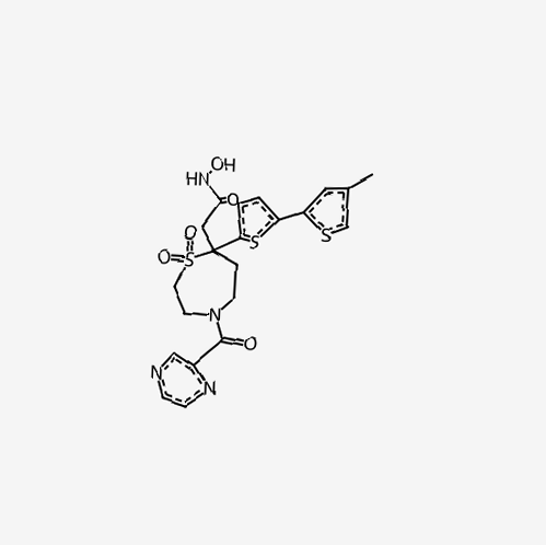 Cc1csc(-c2ccc(C3(CC(=O)NO)CCN(C(=O)c4cnccn4)CCS3(=O)=O)s2)c1